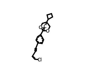 Cl/C=C\C#Cc1ccc(C23OCC(C4CCC4)(CO2)CO3)cc1